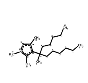 CCCCCCC(C)(CCCCC)c1c(C)nn(C)c1C